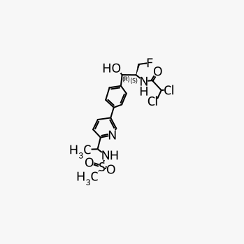 CC(NS(C)(=O)=O)c1ccc(-c2ccc([C@@H](O)[C@@H](CF)NC(=O)C(Cl)Cl)cc2)cn1